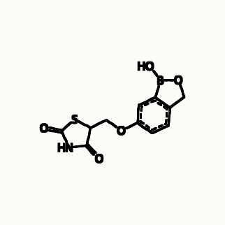 O=C1NC(=O)C(COc2ccc3c(c2)B(O)OC3)S1